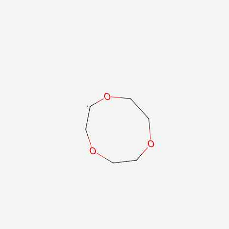 [CH]1COCCOCCO1